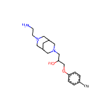 N#Cc1ccc(OCC(O)CN2CC3CC(CN(CCN)C3)C2)cc1